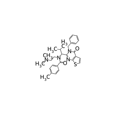 Cc1ccc(C(=O)N(CCN(C)C)C(c2nc3sccc3c(=O)n2Cc2ccccc2)C(C)C)cc1